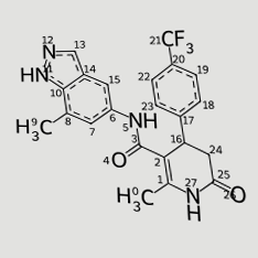 CC1=C(C(=O)Nc2cc(C)c3[nH]ncc3c2)C(c2ccc(C(F)(F)F)cc2)CC(=O)N1